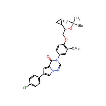 COc1cc(-n2cnn3cc(-c4ccc(Cl)cc4)cc3c2=O)ccc1OCC(O[Si](C)(C)C(C)(C)C)C1CC1